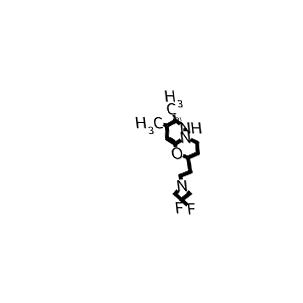 CC1C=C2OC(CCN3CC(F)(F)C3)CCN2N[C@@H]1C